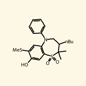 CCCCC1CN(c2ccccc2)c2cc(SC)c(O)cc2S(=O)(=O)C1(C)C